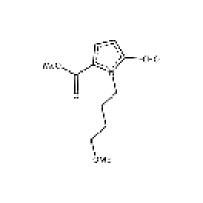 COCCCCn1c(C=O)ccc1C(=O)OC